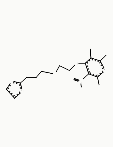 Cc1nc(Cl)c([N+](=O)[O-])c(NCCOCCCc2nccs2)c1C